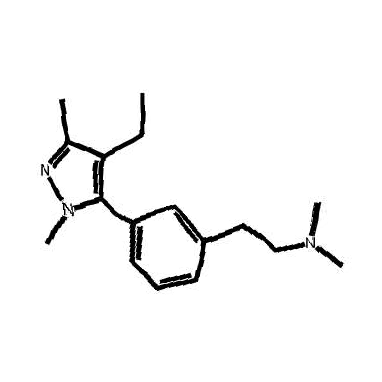 CCc1c(C)nn(C)c1-c1cccc(CCN(C)C)c1